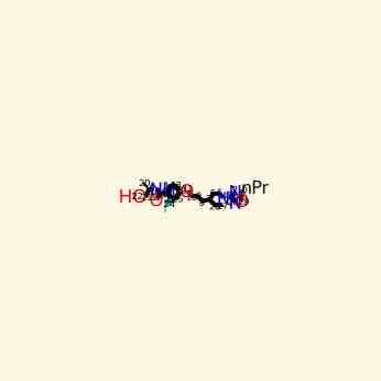 CCCc1nc(N2CCC(CCCOc3ccc(C(=O)N[C@H](C)CO)c(F)c3)CC2)no1